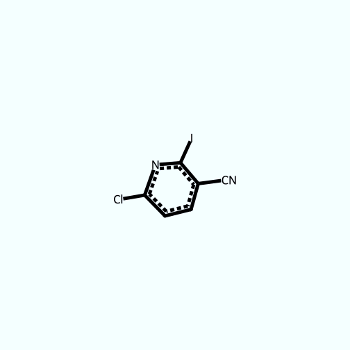 N#Cc1ccc(Cl)nc1I